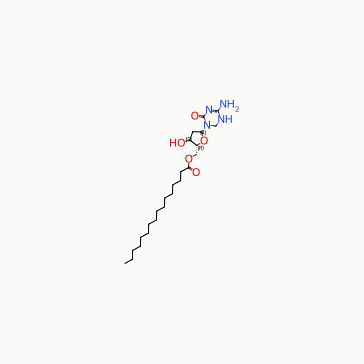 CCCCCCCCCCCCCCCC(=O)OC[C@H]1O[C@@H](N2CNC(N)=NC2=O)C[C@@H]1O